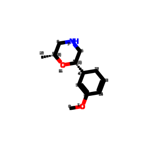 COC1=CC([C@H]2CNC[C@@H](C)O2)CC=C1